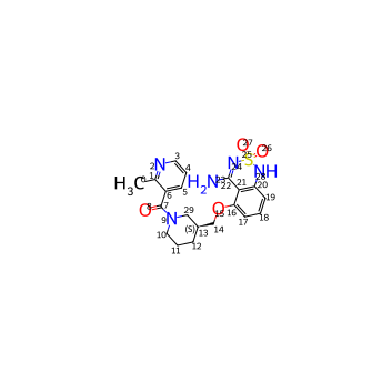 Cc1ncccc1C(=O)N1CCC[C@H](COc2cccc3c2C(N)=NS(=O)(=O)N3)C1